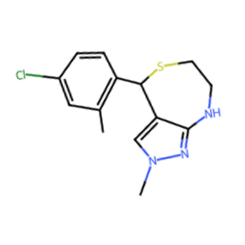 Cc1cc(Cl)ccc1C1SCCNc2nn(C)cc21